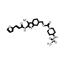 CS(=O)(=O)NC1CCN(C(=O)OCC2CCc3c(sc(NC(=O)C=Cc4ccco4)c3C#N)C2)CC1